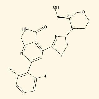 O=C1NCc2nc(-c3c(F)cccc3F)cc(-c3nc(N4CCOC[C@@H]4CO)cs3)c21